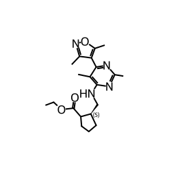 CCOC(=O)C1CCC[C@@H]1CNc1nc(C)nc(-c2c(C)noc2C)c1C